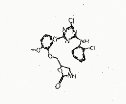 COc1ccccc1OCC1CNC(=O)O1.Clc1nc(Cl)nc(Nc2ccccc2Cl)n1